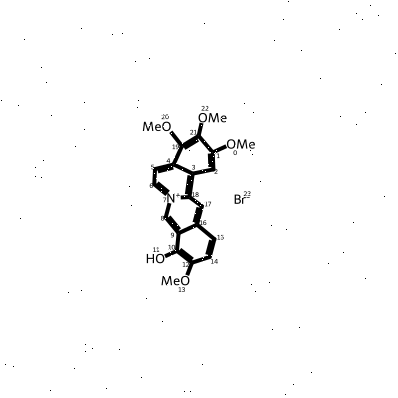 COc1cc2c(cc[n+]3cc4c(O)c(OC)ccc4cc23)c(OC)c1OC.[Br-]